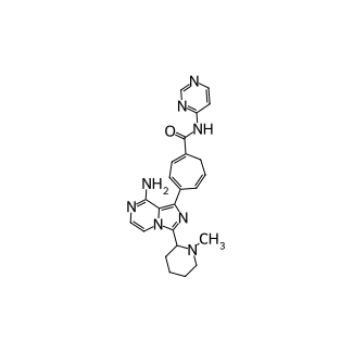 CN1CCCCC1c1nc(C2=CC=C(C(=O)Nc3ccncn3)CC=C2)c2c(N)nccn12